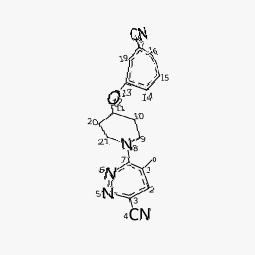 Cc1cc(C#N)nnc1N1CCC(Oc2cccc(C#N)c2)CC1